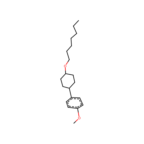 CCCCCCCOC1CCC(c2ccc(OC)cc2)CC1